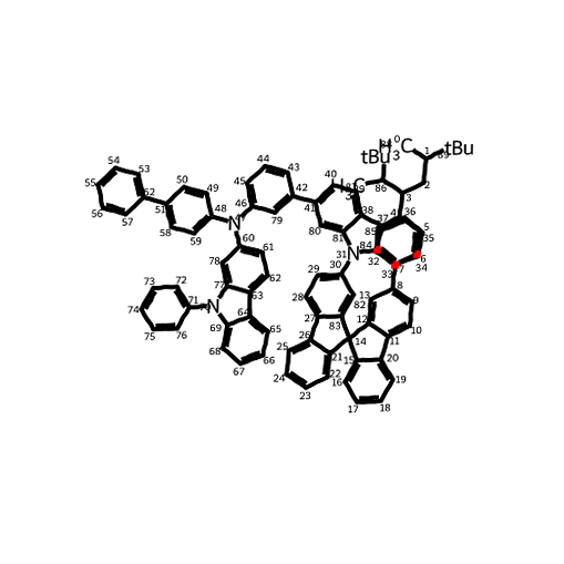 CC(CC(c1ccc(-c2ccc3c(c2)C2(c4ccccc4-3)c3ccccc3-c3ccc(-n4c5ccccc5c5ccc(-c6cccc(N(c7ccc(-c8ccccc8)cc7)c7ccc8c9ccccc9n(-c9ccccc9)c8c7)c6)cc54)cc32)cc1)C(C)C(C)(C)C)C(C)(C)C